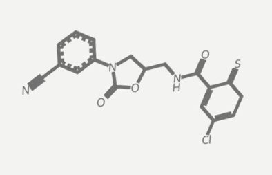 N#Cc1cccc(N2CC(CNC(=O)C3=CC(Cl)=CCC3=S)OC2=O)c1